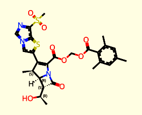 Cc1cc(C)c(C(=O)OCOC(=O)C2=C(c3cn4cnc(S(C)(=O)=O)c4s3)[C@H](C)[C@@H]3[C@@H]([C@@H](C)O)C(=O)N23)c(C)c1